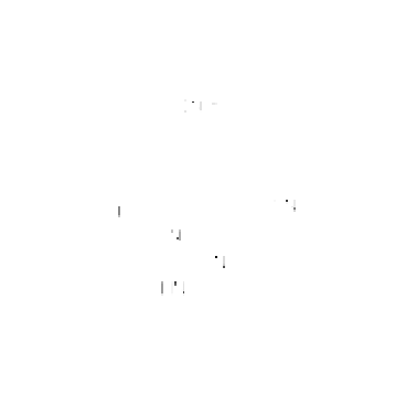 N#Cc1ccc(F)c(-c2c(C#N)ccc(O)c2C(=O)NC2=NCCN2)c1